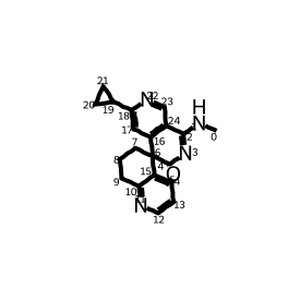 CNC1=NC(=O)C2(CCCc3ncccc32)c2cc(C3CC3)ncc21